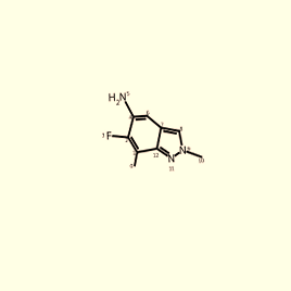 Cc1c(F)c(N)cc2cn(C)nc12